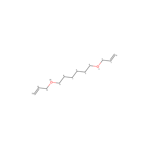 C=CCOCCCCCCOCC=C